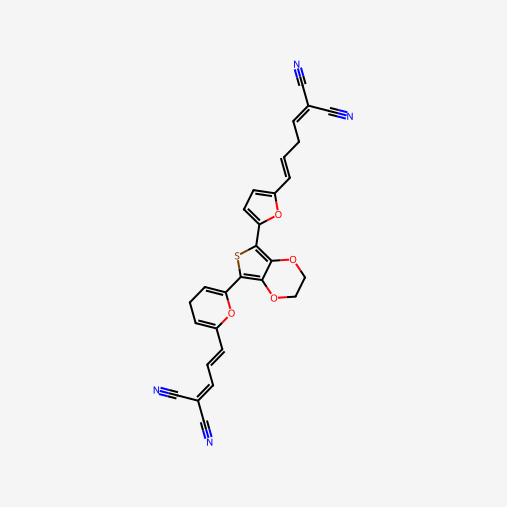 N#CC(C#N)=C/C=C/C1=CCC=C(c2sc(-c3ccc(/C=C/CC=C(C#N)C#N)o3)c3c2OCCO3)O1